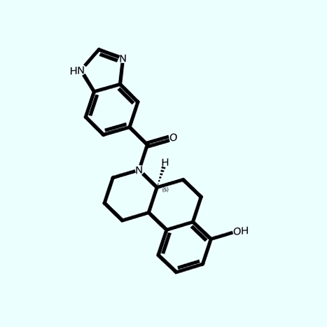 O=C(c1ccc2[nH]cnc2c1)N1CCCC2c3cccc(O)c3CC[C@@H]21